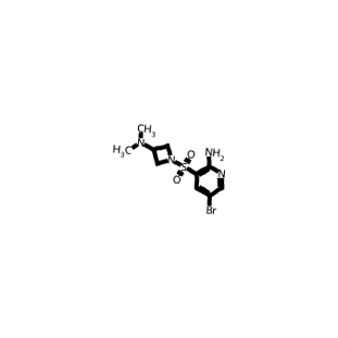 CN(C)C1CN(S(=O)(=O)c2cc(Br)cnc2N)C1